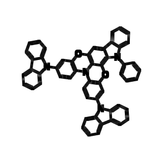 c1ccc(-n2c3ccccc3c3cc4c5c(c32)Oc2cc(-n3c6ccccc6c6ccccc63)ccc2N5c2ccc(-n3c5ccccc5c5ccccc53)cc2O4)cc1